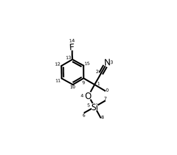 CC(C#N)(O[Si](C)(C)C)c1cccc(F)c1